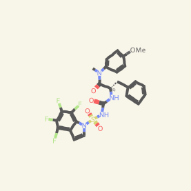 COc1ccc(N(C)C(=O)[C@H](Cc2ccccc2)NC(=O)NS(=O)(=O)n2ccc3c(F)c(F)c(F)c(F)c32)cc1